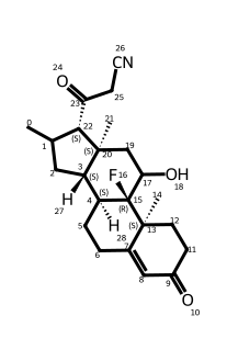 CC1C[C@H]2[C@@H]3CCC4=CC(=O)CC[C@]4(C)[C@@]3(F)C(O)C[C@]2(C)[C@H]1C(=O)CC#N